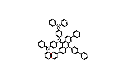 c1ccc(-c2ccc(-c3c4cc(-c5ccccc5)ccc4c(N(c4ccc(N(c5ccccc5)c5ccccc5)cc4)c4ccc(N(c5ccccc5)c5ccccc5)cc4)c4cc(-c5ccccc5)ccc34)cc2)cc1